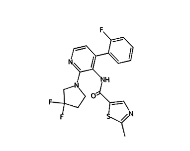 Cc1ncc(C(=O)Nc2c(-c3ccccc3F)ccnc2N2CCC(F)(F)C2)s1